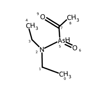 CCN(CC)[AsH](=O)C(C)=O